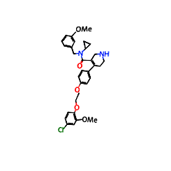 COc1cccc(CN(C(=O)C2=C(c3ccc(OCCOc4ccc(Cl)cc4OC)cc3)CCNC2)C2CC2)c1